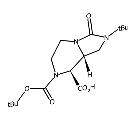 CC(C)(C)OC(=O)N1CCN2C(=O)N(C(C)(C)C)C[C@@H]2[C@H]1C(=O)O